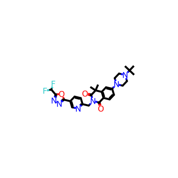 CC1(C)C(=O)N(Cc2ccc(-c3nnc(C(F)F)o3)cn2)C(=O)c2ccc(N3CCN(C(C)(C)C)CC3)cc21